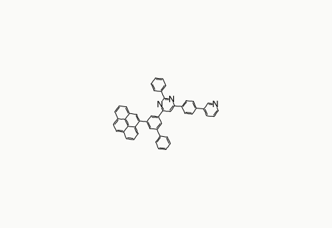 c1ccc(-c2cc(-c3cc(-c4ccc(-c5cccnc5)cc4)nc(-c4ccccc4)n3)cc(-c3cc4cccc5ccc6cccc3c6c54)c2)cc1